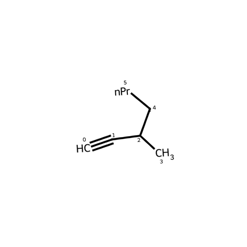 C#CC(C)[CH]CCC